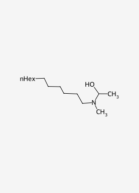 CCCCCCCCCCCCN(C)C(C)O